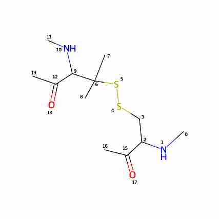 CNC(CSSC(C)(C)C(NC)C(C)=O)C(C)=O